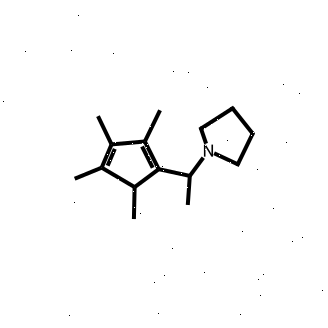 CC1=C(C)C(C)C(C(C)N2CCCC2)=C1C